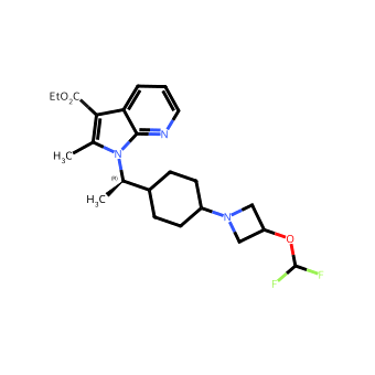 CCOC(=O)c1c(C)n([C@H](C)C2CCC(N3CC(OC(F)F)C3)CC2)c2ncccc12